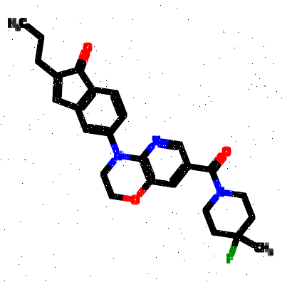 CCCC1=Cc2cc(N3CCOc4cc(C(=O)N5CCC(C)(F)CC5)cnc43)ccc2C1=O